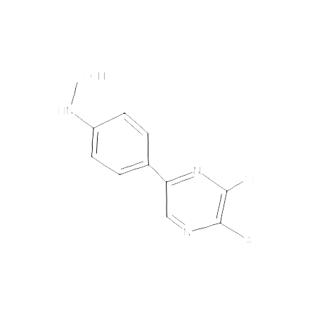 CC(=O)c1ncc(-c2ccc(NC(=O)O)cc2)nc1Cl